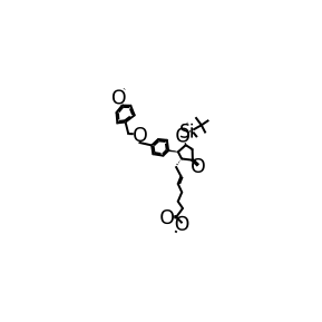 COC(=O)CCCC=CC[C@H]1C(=O)C[C@@H](O[Si](C)(C)C(C)(C)C)[C@@H]1c1ccc(COCc2ccc(OC)cc2)cc1